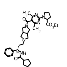 CCOC(=O)C1CCCN1c1nc(C)c(C(=O)N2CC3CN(CC[C@H](NC(=O)C4CCCC4)c4ccccc4)CC3C2)c(C)n1